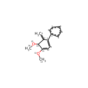 C=C1C(c2ccccc2)=CC=C(OC)C1OC